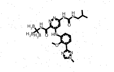 BC(B)(B)NC(=O)c1nnc(NC(=O)NCC(C)C)cc1Nc1cccc(-c2ncn(C)n2)c1OC